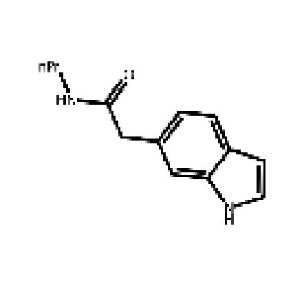 CCCNC(=O)Cc1ccc2cc[nH]c2c1